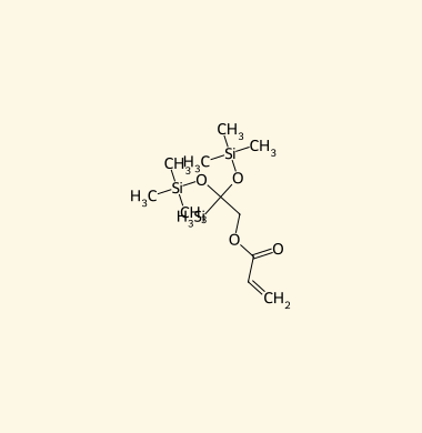 C=CC(=O)OCC([SiH3])(O[Si](C)(C)C)O[Si](C)(C)C